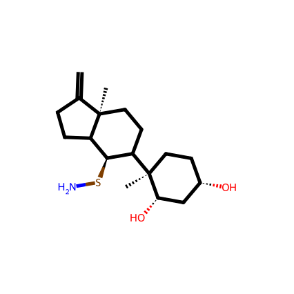 C=C1CCC2[C@H](SN)C([C@@]3(C)CC[C@H](O)C[C@@H]3O)CC[C@]12C